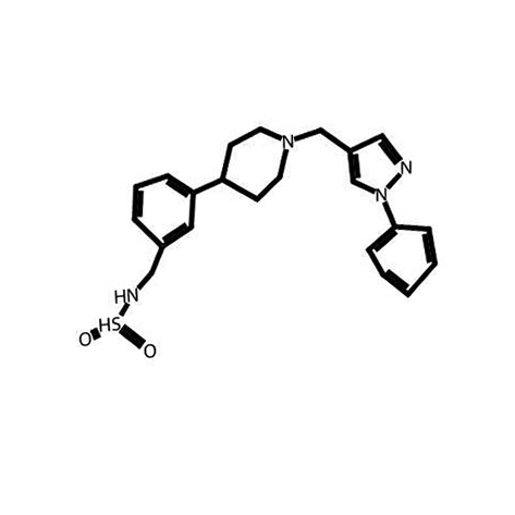 O=[SH](=O)NCc1cccc(C2CCN(Cc3cnn(-c4ccccc4)c3)CC2)c1